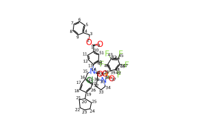 O=C(OCc1ccccc1)c1ccc(N(Cc2ccc(C3CCCCC3)cc2)C(=O)[C@]2(Cl)CCCN2S(=O)(=O)c2c(F)c(F)c(F)c(F)c2F)cc1